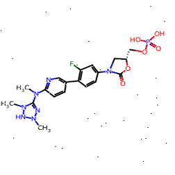 CN1N=C(N(C)c2ccc(-c3ccc(N4C[C@H](COP(=O)(O)O)OC4=O)cc3F)cn2)N(C)N1